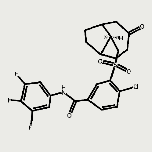 O=C1CCC2CCC(C1)[C@H]2CS(=O)(=O)c1cc(C(=O)Nc2cc(F)c(F)c(F)c2)ccc1Cl